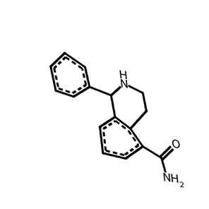 NC(=O)c1cccc2c1CCNC2c1ccccc1